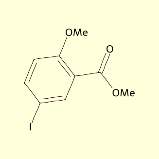 COC(=O)c1cc(I)ccc1OC